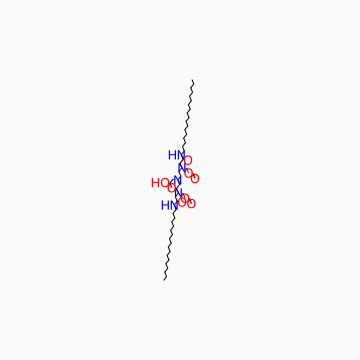 CCCCCCCCCCCCCCCCCCNC(=O)CN(CCN(CCN(COC=O)CC(=O)NCCCCCCCCCCCCCCCCCC)CC(=O)O)COC=O